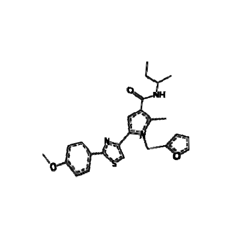 CCC(C)NC(=O)c1cc(-c2csc(-c3ccc(OC)cc3)n2)n(Cc2ccco2)c1C